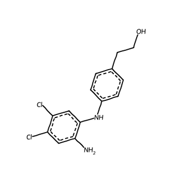 Nc1cc(Cl)c(Cl)cc1Nc1ccc(CCO)cc1